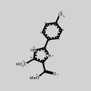 COC(=O)c1nc(-c2ccc(C(F)(F)F)cc2)[nH]c1C(=O)O